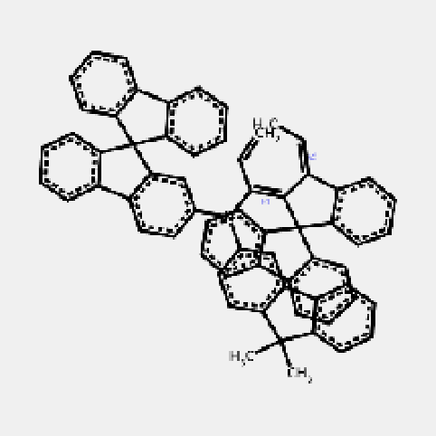 C=C/C(=C1\C(=C/C)c2ccccc2C12c1ccccc1-c1ccccc12)N(c1ccc2c(c1)-c1ccccc1C2(C)C)c1ccc2c(c1)C1(c3ccccc3-c3ccccc31)c1ccccc1-2